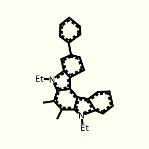 CCn1c2ccccc2c2c3c4ccc(-c5ccccc5)cc4n(CC)c3c(C)c(C)c21